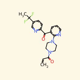 C=CC(=O)N1CCN(c2ncccc2C(=O)c2ccc(C(C)(F)F)cn2)CC1